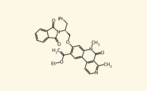 C=C(OCC)c1cc2c3ccnc(C)c3c(=O)n(C)c2cc1OC[C@H](CC(C)C)N1C(=O)c2ccccc2C1=O